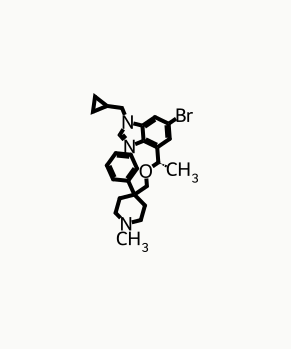 C[C@H](OCC1(c2ccccc2)CCN(C)CC1)c1cc(Br)cc2c1ncn2CC1CC1